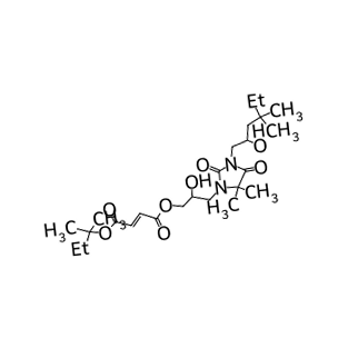 CCC(C)(C)CC(O)CN1C(=O)N(CC(O)COC(=O)/C=C/C(=O)OC(C)(C)CC)C(C)(C)C1=O